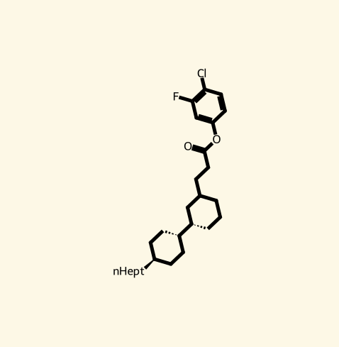 CCCCCCC[C@H]1CC[C@H]([C@H]2CCCC(CCC(=O)Oc3ccc(Cl)c(F)c3)C2)CC1